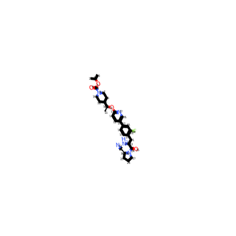 CC(C)OC(=O)N1CCC([C@H](C)Oc2ccc(-c3ccc(CC(N)C(=O)N4CCC[C@H]4C#N)c(F)c3)cn2)CC1